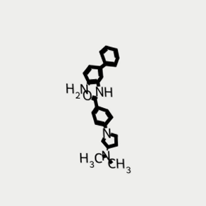 CN(C)[C@H]1CCN(c2ccc(C(=O)Nc3cc(-c4ccccc4)ccc3N)cc2)C1